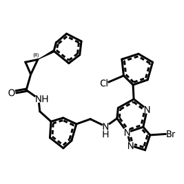 O=C(NCc1cccc(CNc2cc(-c3ccccc3Cl)nc3c(Br)cnn23)c1)C1C[C@H]1c1ccccc1